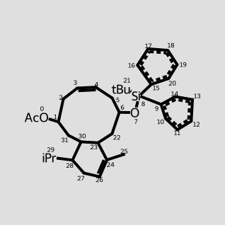 CC(=O)OC1C/C=C\CC(O[Si](c2ccccc2)(c2ccccc2)C(C)(C)C)CC2C(C)=CCC(C(C)C)C2C1